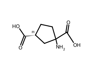 NC1(C(=O)O)CC[C@@H](C(=O)O)C1